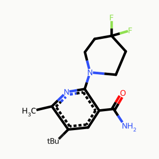 Cc1nc(N2CCC(F)(F)CC2)c(C(N)=O)cc1C(C)(C)C